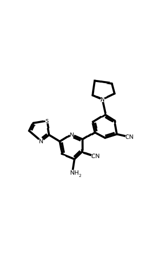 N#Cc1cc(-c2nc(-c3nccs3)cc(N)c2C#N)cc(N2CCCC2)c1